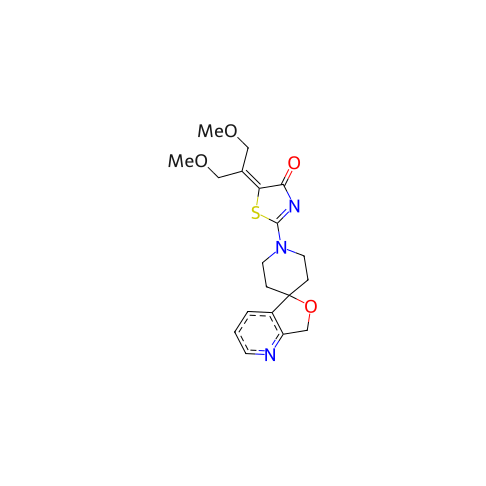 COCC(COC)=C1SC(N2CCC3(CC2)OCc2ncccc23)=NC1=O